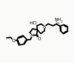 CCOc1ccc(CN2CCC3(CCN(CC[C@H](N)c4ccccc4)CC3)C2=O)cc1.Cl